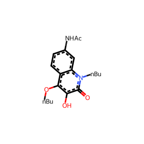 CCCCOc1c(O)c(=O)n(CCCC)c2cc(NC(C)=O)ccc12